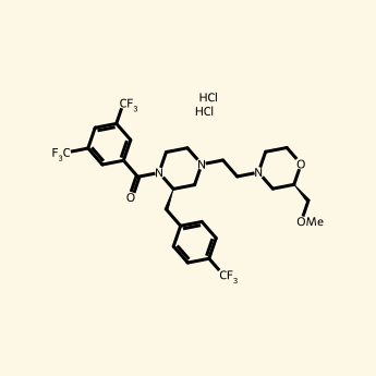 COC[C@H]1CN(CCN2CCN(C(=O)c3cc(C(F)(F)F)cc(C(F)(F)F)c3)[C@H](Cc3ccc(C(F)(F)F)cc3)C2)CCO1.Cl.Cl